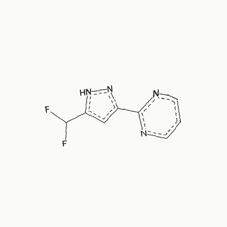 FC(F)c1cc(-c2ncccn2)n[nH]1